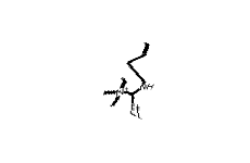 C=CCNC(CC)[N+](C)(C)C